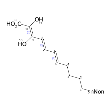 CCCCCCCCCCCCC/C=C/C=C/C(O)=C(\O)C(=O)O